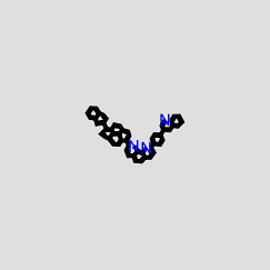 c1ccc2cc(-c3ccc4ccc5c(-c6ccc7ccc8ccc(-c9ccc(-c%10cnc%11ccccc%11c%10)cc9)nc8c7n6)ccc6ccc3c4c65)ccc2c1